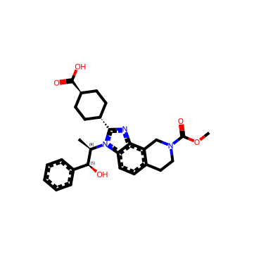 COC(=O)N1CCc2ccc3c(nc([C@H]4CC[C@H](C(=O)O)CC4)n3[C@H](C)[C@@H](O)c3ccccc3)c2C1